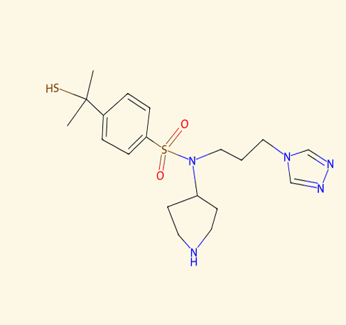 CC(C)(S)c1ccc(S(=O)(=O)N(CCCn2cnnc2)C2CCNCC2)cc1